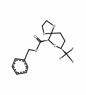 O=C(OCc1ccccc1)[C@@H]1C[C@H](C(F)(F)F)CCC12OCCO2